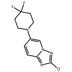 FC1(F)CCN(c2ccc3nc(Cl)nn3c2)CC1